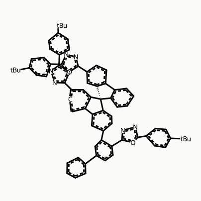 CC(C)(C)c1ccc(-c2nnc(-c3ccc4c(c3)[C@]3(c5ccccc5-4)c4ccc(-c5cc(-c6ccccc6)ccc5-c5nnc(-c6ccc(C(C)(C)C)cc6)o5)cc4-c4ccc(-c5nnc(-c6ccc(C(C)(C)C)cc6)o5)cc43)o2)cc1